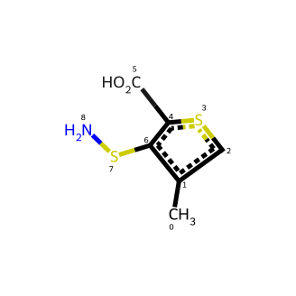 Cc1csc(C(=O)O)c1SN